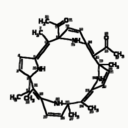 CCC12C=C/C(=C(\C)C3(C(C)=O)C=C/C(=C(\C(C)=O)C4(C)C=C/C(=C(\C)C5(C)C=C/C(=C/1C)N5)N4)N3)N2